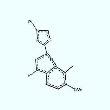 COc1ccc2c(C(C)C)cc(-c3nc(C(C)C)cs3)nc2c1C